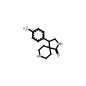 O=C1NCC(c2ccc(C(F)(F)F)cc2)C12CCNCC2